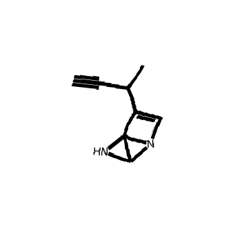 C#CC(C)C1=CN2C3NC132